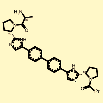 CC(C)C(=O)N1CCC[C@H]1c1ncc(-c2ccc(-c3ccc(-c4cnc([C@@H]5CCCN5C(=O)[C@H](C)N)[nH]4)cc3)cc2)[nH]1